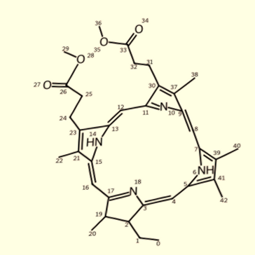 CCC1c2cc3[nH]c(cc4nc(cc5[nH]c(cc(n2)C1C)c(C)c5CCC(=O)OC)C(CCC(=O)OC)=C4C)c(C)c3C